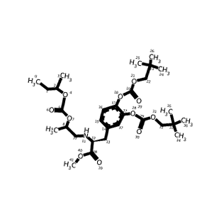 CCC(C)OC(=O)OC(C)CN[C@@H](Cc1ccc(OC(=O)OCC(C)(C)C)c(OC(=O)OCC(C)(C)C)c1)C(=O)OC